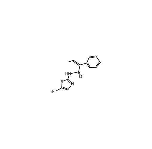 CC=C(C(=O)Nc1ncc(C(C)C)s1)c1ccccc1